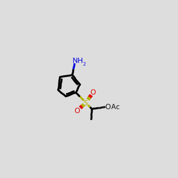 CC(=O)OC(C)S(=O)(=O)c1cccc(N)c1